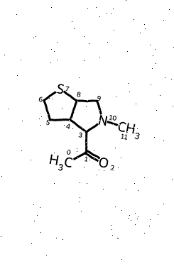 CC(=O)C1C2CCSC2CN1C